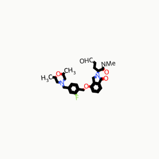 CNC(=O)C(CCC=O)N1Cc2c(OCc3ccc(CN4CC(C)OC(C)C4)cc3F)cccc2C1=O